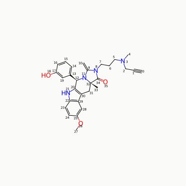 C#CCN(C)CCCN1C(=C)N2[C@H](c3cccc(O)c3)c3[nH]c4ccc(OC)cc4c3C[C@@]2(C)C1=O